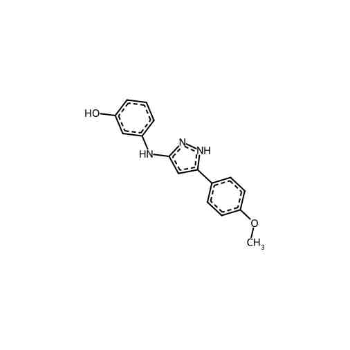 COc1ccc(-c2cc(Nc3cccc(O)c3)n[nH]2)cc1